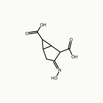 O=C(O)C1C(=NO)CC2C(C(=O)O)C12